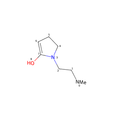 CNCCN1CCC=C1O